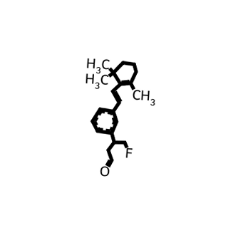 CC1=C(/C=C/c2cccc(C(CF)CC=O)c2)C(C)(C)CCC1